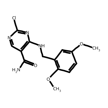 COc1ccc(OC)c(CNc2nc(Cl)ncc2C(N)=O)c1